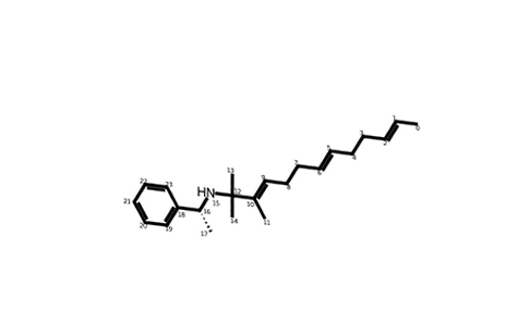 CC=CCCC=CCCC=C(C)C(C)(C)N[C@H](C)c1ccccc1